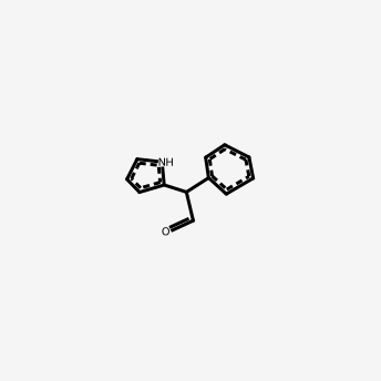 O=CC(c1ccccc1)c1ccc[nH]1